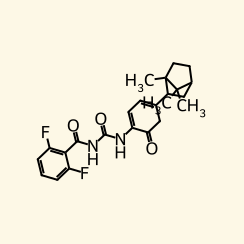 CC1(C)C2CCC1(C)C(C1=CC=C(NC(=O)NC(=O)c3c(F)cccc3F)C(=O)C1)C2